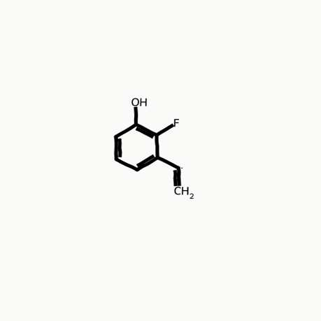 C=[C]c1cccc(O)c1F